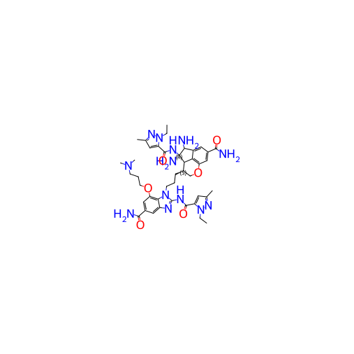 CCn1nc(C)cc1C(=O)Nc1nc2cc(C(N)=O)cc(OCCCN(C)C)c2n1CCC[C@@H]1COc2cc(C(N)=O)cc3c2C1[C@@](N)(NC(=O)c1cc(C)nn1CC)C3N